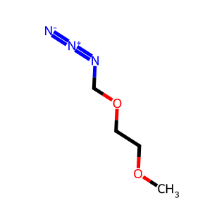 COCCOCN=[N+]=[N-]